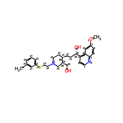 COc1ccc2nccc([C@@H](O)CC[C@@H]3CCN(CCSc4cccc(C)c4)C[C@@H]3CO)c2c1